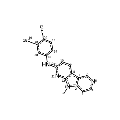 Cn1c2ccncc2c2ccc(Nc3ccc(F)c([18F])c3)nc21